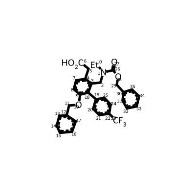 CCN(Cc1c(CC(=O)O)ccc(OCc2ccccc2)c1-c1ccc(C(F)(F)F)cc1)C(=O)OCc1ccccc1